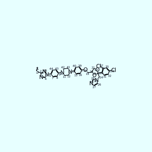 CSc1ncn(-c2ccc(N3CCN(c4ccc(OCC5COC(Cn6ccnc6)(c6ccc(Cl)cc6Cl)O5)cc4)CC3)cc2)n1